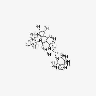 [2H]Oc1c(C(=O)N([2H])C([2H])([2H])CCN2C([2H])([2H])C([2H])([2H])C([2H])([2H])C([2H])([2H])C2([2H])[2H])c(=O)n(C([2H])(C([2H])([2H])[2H])C([2H])([2H])[2H])c2nc([2H])n([2H])c12